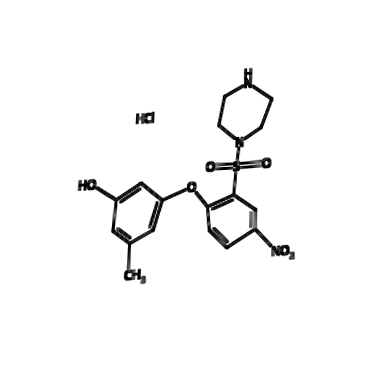 Cc1cc(O)cc(Oc2ccc([N+](=O)[O-])cc2S(=O)(=O)N2CCNCC2)c1.Cl